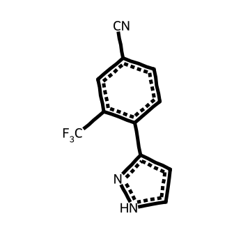 N#Cc1ccc(-c2cc[nH]n2)c(C(F)(F)F)c1